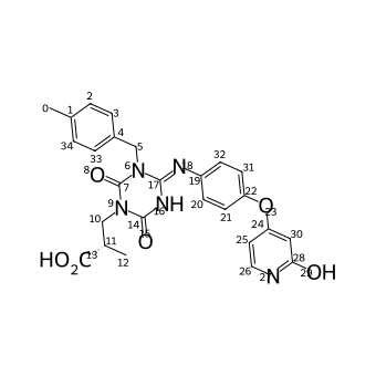 Cc1ccc(Cn2c(=O)n(C[C@H](C)C(=O)O)c(=O)[nH]/c2=N\c2ccc(Oc3ccnc(O)c3)cc2)cc1